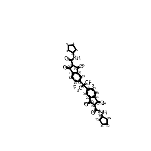 O=C(NC1CCCC1)C1C(=O)c2ccc(C(c3ccc4c(c3)C(=O)C(C(=O)NC3CCCC3)C4=O)(C(F)(F)F)C(F)(F)F)cc2C1=O